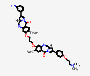 COc1cc2c(cc1OCCCOc1cc3c(cc1OC)C(=O)N1C=C(c4cccc(N)c4)C[C@H]1C=N3)N=C[C@@H]1CC(c3ccc(OCCCN(C)C)cc3)=CN1C2=O